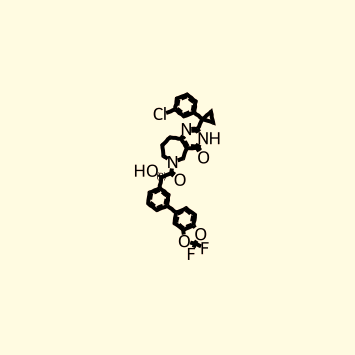 O=C([C@H](O)c1cccc(-c2ccc3c(c2)OC(F)(F)O3)c1)N1CCCc2nc(C3(c4cccc(Cl)c4)CC3)[nH]c(=O)c2C1